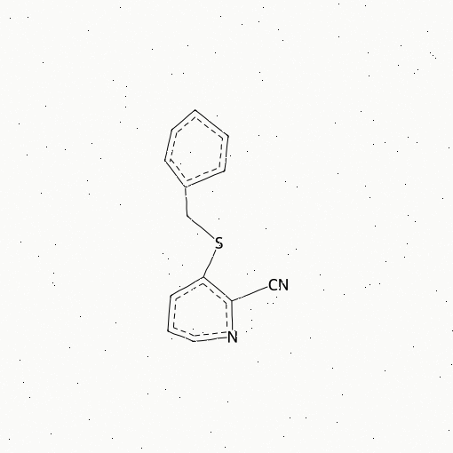 N#Cc1ncccc1SCc1ccccc1